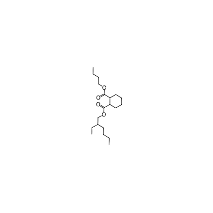 CCCCOC(=O)C1CCCCC1C(=O)OCC(CC)CCCC